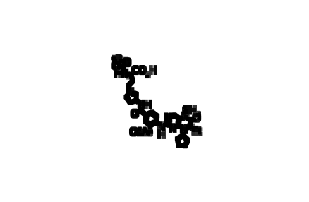 CC[C@@H]1C(=O)N(C)c2cnc(Nc3ccc(C(=O)NC4CCN(CC[C@H](NC(=O)OC(C)(C)C)C(=O)O)C4)cc3OC)nc2N1C1CCCC1